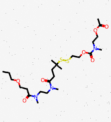 CCCOCCC(=O)N(C)CCN(C)C(=O)CCC(C)(C)SSCCOC(=O)N(C)CCOC(C)=O